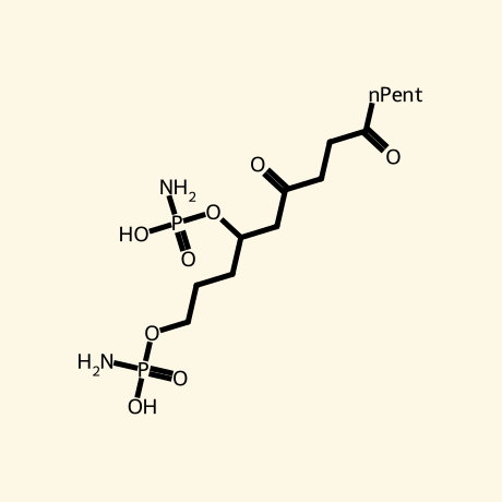 CCCCCC(=O)CCC(=O)CC(CCCOP(N)(=O)O)OP(N)(=O)O